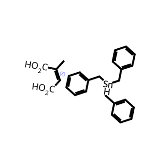 C/C(=C/C(=O)O)C(=O)O.c1ccc([CH2][SnH]([CH2]c2ccccc2)[CH2]c2ccccc2)cc1